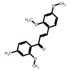 COc1ccc(/C=C/C(=O)c2ccc(C)cc2OC)c(OC)c1